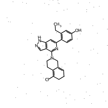 CCc1cc(O)ccc1-c1cc2[nH]ncc2c(N2CCC3=C(Cl)CCC=C3C2)n1